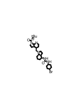 CC(C)(C)OC(=O)n1ccc2c(Cn3ccc4c(NC(=O)Nc5ccc(Br)cc5)cccc43)ccnc21